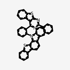 c1ccc(-c2nc(-c3ccccc3-n3c4ccccc4c4ccc5c6ccccc6sc5c43)c3c(n2)sc2ccccc23)cc1